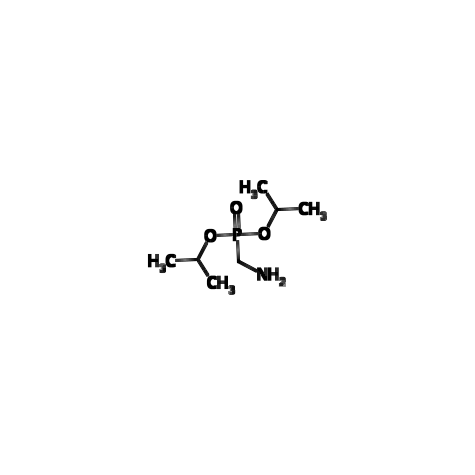 CC(C)OP(=O)(CN)OC(C)C